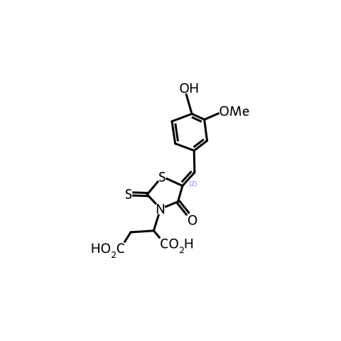 COc1cc(/C=C2\SC(=S)N(C(CC(=O)O)C(=O)O)C2=O)ccc1O